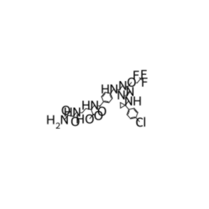 NC(=O)C(=O)NCCC(NC(=O)c1ccc(Nc2nc(NC3(c4ccc(Cl)cc4)CC3)nc(OCC(F)(F)F)n2)cc1)C(=O)O